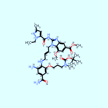 CCn1nc(C)cc1C(=O)Nc1nc2cc(C(=O)OC)cc(OC)c2n1C/C=C/CNc1c(N)cc(C(N)=O)cc1OCCCN(C)C(=O)OC(C)(C)C